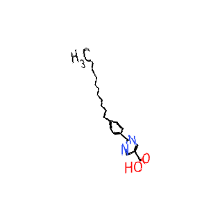 CCCCCCCCCCCc1ccc(-c2ncc(C(=O)O)cn2)cc1